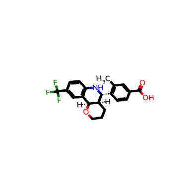 Cc1cc(C(=O)O)ccc1[C@H]1Nc2ccc(C(F)(F)F)cc2[C@@H]2OCCC[C@H]12